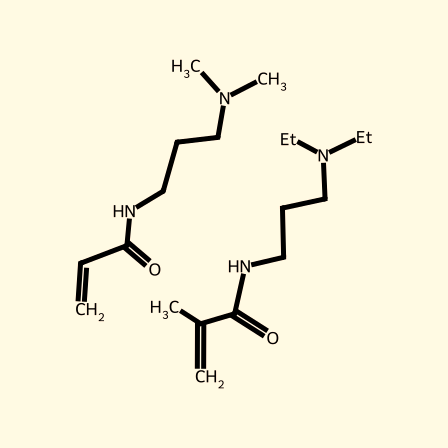 C=C(C)C(=O)NCCCN(CC)CC.C=CC(=O)NCCCN(C)C